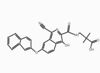 CC(C)(CNC(=O)c1nc(C#N)c2cc(Oc3ccc4ccccc4c3)ccc2c1O)C(=O)O